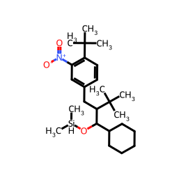 C[SiH](C)OC(C1CCCCC1)C(Cc1ccc(C(C)(C)C)c([N+](=O)[O-])c1)C(C)(C)C